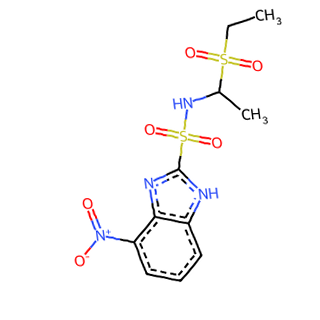 CCS(=O)(=O)C(C)NS(=O)(=O)c1nc2c([N+](=O)[O-])cccc2[nH]1